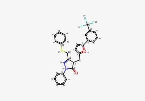 O=C1C(Cc2ccc(-c3cccc(C(F)(F)F)c3)o2)C(CSc2ccccc2)=NN1c1ccccc1